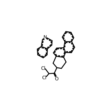 O=C(C(Cl)Cl)C1CCc2c(ccc3c2ccc2ccccc23)C1.c1ccc2cnccc2c1